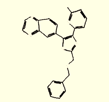 Cc1cccc(-c2nc(CNCc3ccccc3)[nH]c2-c2ccc3nccnc3c2)n1